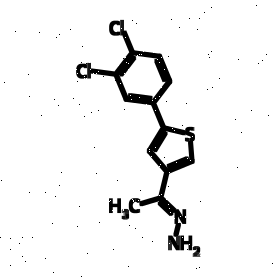 CC(=NN)c1csc(-c2ccc(Cl)c(Cl)c2)c1